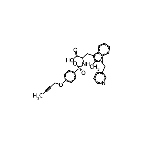 CC#CCOc1ccc(S(=O)(=O)NC(Cc2c(C)n(Cc3cccnc3)c3ccccc23)C(=O)O)cc1